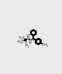 Cc1ccc([C@@H](N[S+]([O-])C(C)(C)C)c2ccccc2)cc1